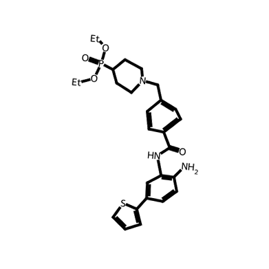 CCOP(=O)(OCC)C1CCN(Cc2ccc(C(=O)Nc3cc(-c4cccs4)ccc3N)cc2)CC1